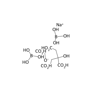 O=C(O)CC(O)(CC(=O)O)C(=O)O.O=C([O-])O.OB(O)O.OB(O)O.[Na+]